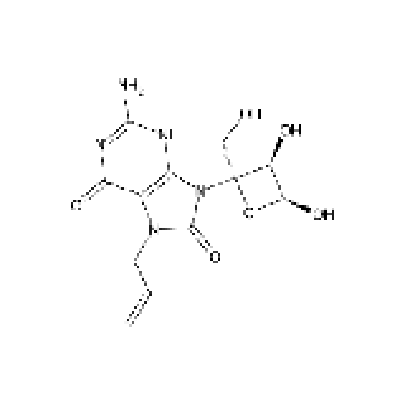 C=CCn1c(=O)n([C@]2(CO)O[C@H](O)[C@@H]2O)c2[nH]c(N)nc(=O)c21